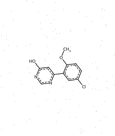 COc1ccc(Cl)cc1-c1cc(O)ncn1